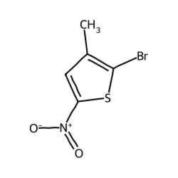 Cc1cc([N+](=O)[O-])sc1Br